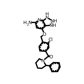 Nc1cc(OCc2ccc(C(=O)N3CCCCC3c3ccccc3)cc2Cl)c2c(n1)NNN2